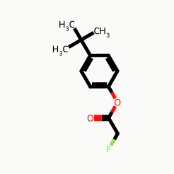 CC(C)(C)c1ccc(OC(=O)CF)cc1